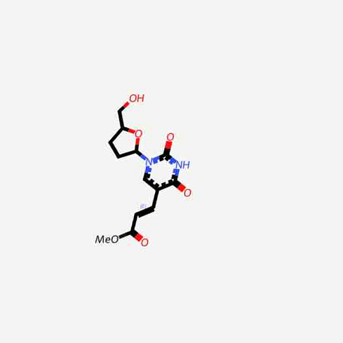 COC(=O)/C=C/c1cn(C2CCC(CO)O2)c(=O)[nH]c1=O